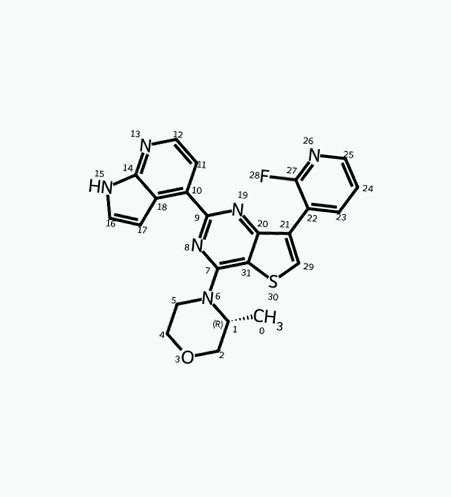 C[C@@H]1COCCN1c1nc(-c2ccnc3[nH]ccc23)nc2c(-c3cccnc3F)csc12